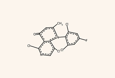 Cc1cc(=O)c2c(Cl)ncc(Cl)c2n1-c1c(Cl)cc(F)cc1Cl